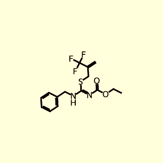 C=C(CS/C(=N\C(=O)OCC)NCc1ccccc1)C(F)(F)F